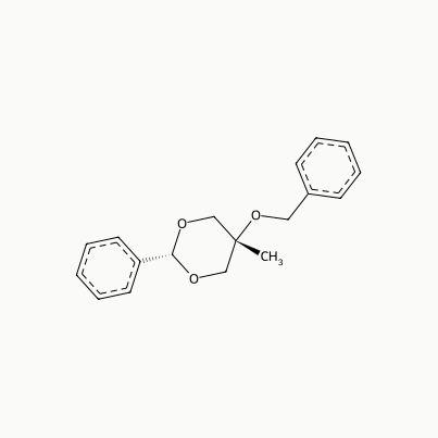 C[C@]1(OCc2ccccc2)CO[C@@H](c2ccccc2)OC1